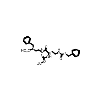 CC(C)(C)OC(=O)N[C@@H](CCNC(=O)OCc1ccccc1)C(=O)NCCN(Cc1ccccc1)C(=O)O